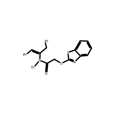 CCN(C(=O)COc1nc2ccccc2s1)/C(=C\C(C)C)CC(C)C